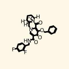 O=C(NCc1ccc(F)cc1F)c1cn2c(c(OCc3ccccc3)c1=O)C(=O)N1[C@H]3CC[C@@H](CC3)[C@@H]1C2